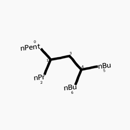 CCCCCC(CCC)CC(CCCC)CCCC